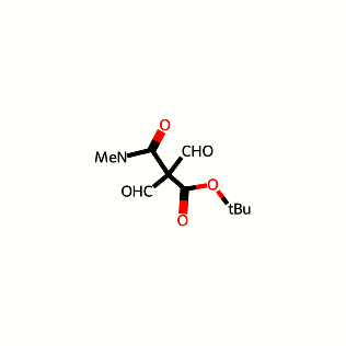 CNC(=O)C(C=O)(C=O)C(=O)OC(C)(C)C